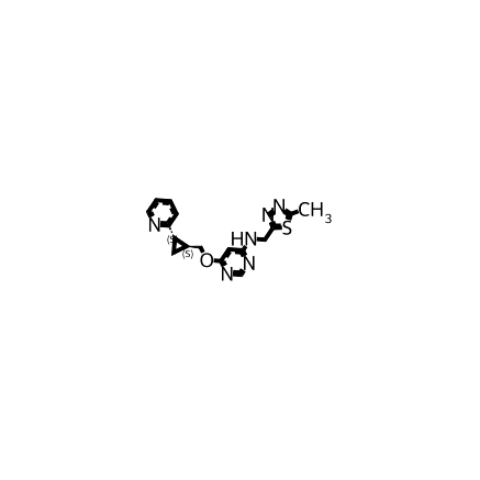 Cc1nnc(CNc2cc(OC[C@H]3C[C@@H]3c3ccccn3)ncn2)s1